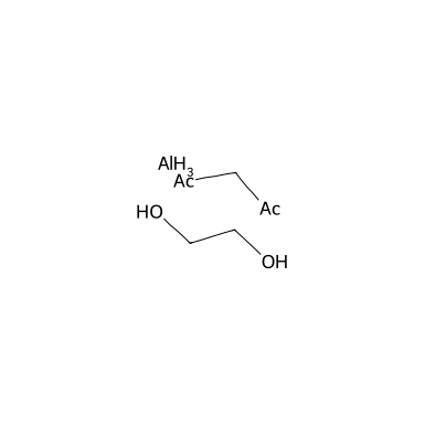 CC(=O)CC(C)=O.OCCO.[AlH3]